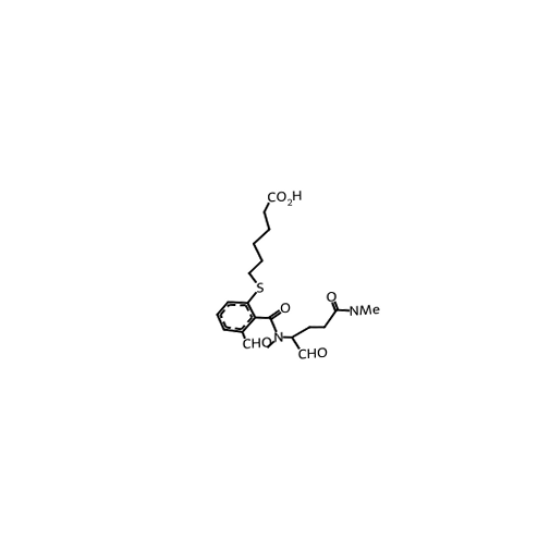 CNC(=O)CCC(C=O)N(C)C(=O)c1c(C=O)cccc1SCCCCCC(=O)O